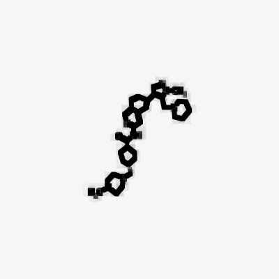 CN1CCN(C[C@H]2CC[C@H](C(=O)Nc3cc4cc(-c5cnn(C)c5CN5CCCCC5)ccc4cn3)CC2)CC1